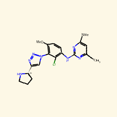 CNc1cc(C)nc(Nc2ccc(OC)c(-n3cc([C@@H]4CCCN4)nn3)c2Cl)n1